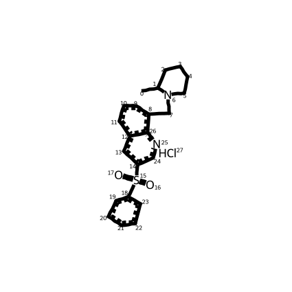 CC1CCCCN1Cc1cccc2cc(S(=O)(=O)c3ccccc3)cnc12.Cl